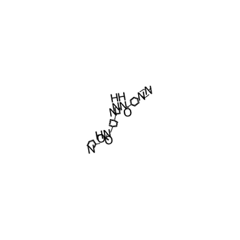 CN1CCN(c2ccc(C(=O)Nc3cc(-c4ccc(CNC(=O)OCc5cccnc5)cc4)n[nH]3)cc2)CC1